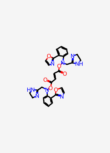 O=C(/C=C/C(=O)ON(CC1=NCCN1)c1ccccc1-c1ncco1)ON(CC1=NCCN1)c1ccccc1-c1ncco1